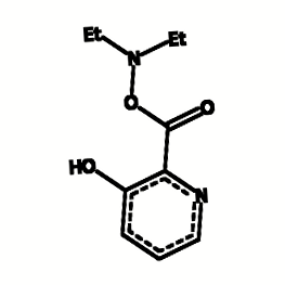 CCN(CC)OC(=O)c1ncccc1O